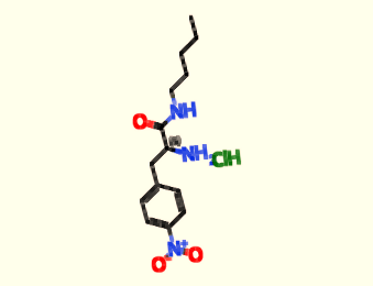 CCCCCNC(=O)[C@@H](N)Cc1ccc([N+](=O)[O-])cc1.Cl